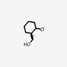 O/C=C1\CCCCC1Cl